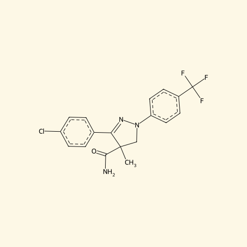 CC1(C(N)=O)CN(c2ccc(C(F)(F)F)cc2)N=C1c1ccc(Cl)cc1